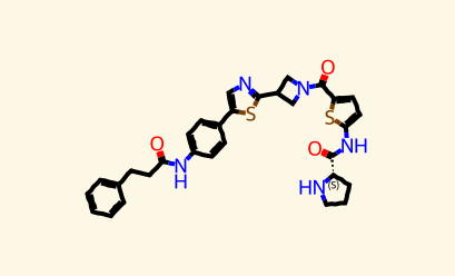 O=C(CCc1ccccc1)Nc1ccc(-c2cnc(C3CN(C(=O)c4ccc(NC(=O)[C@@H]5CCCN5)s4)C3)s2)cc1